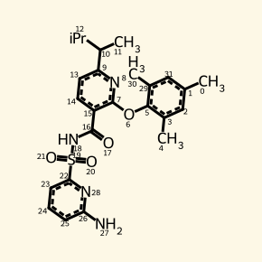 Cc1cc(C)c(Oc2nc(C(C)C(C)C)ccc2C(=O)NS(=O)(=O)c2cccc(N)n2)c(C)c1